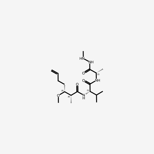 C=CCC[C@@H](OC)[C@@H](C)C(=O)N[C@H](C(=O)N[C@@H](C)C(=O)NNC)C(C)C